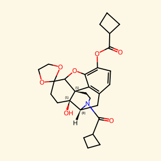 O=C(Oc1ccc2c3c1OC1C4(CC[C@@]5(O)[C@@H](C2)N(C(=O)C2CCC2)CC[C@]315)OCCO4)C1CCC1